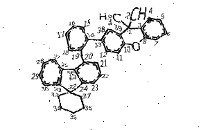 CC1(C)c2ccccc2Oc2ccc(-c3ccccc3-c3cccc4c3-c3ccccc3C43CCCCC3)cc21